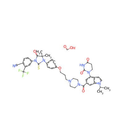 CC(C)n1ccc2c(N3CCC(=O)NC3=O)cc(C(=O)N3CCN(CCCOc4ccc(N5C(=S)N(c6ccc(C#N)c(C(F)(F)F)c6)C(=O)C5(C)C)cc4)CC3)cc21.O=CO